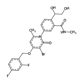 CNC(=O)c1cc(-n2c(C)cc(OCc3ccc(F)cc3F)c(Br)c2=O)ccc1C(O)CO